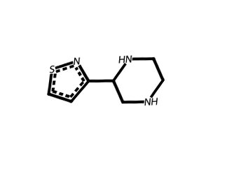 c1cc(C2CNCCN2)ns1